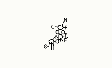 COCc1ccc(Cn2cnc(C(C)(F)F)c(Oc3cc(Cl)cc(C#N)c3F)c2=O)c(=O)[nH]1